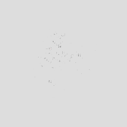 CCO[Si](O)(CC)O[Si](OCC)(O[Si](O)(O[Si](OCC)(OCC)OCC)O[Si](OCC)(O[Si](O)(OCC)OCC)c1ccc(N(c2ccccc2)c2ccccc2)cc1)c1ccc(N(c2ccccc2)c2ccccc2)cc1